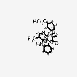 C=CC(=O)Nc1ccccc1Nc1nc(N[C@H]2CCC[C@@H](C(=O)O)C2)ncc1C(F)(F)F